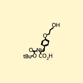 CC(C)(C)OC(=O)NC(Cc1ccc(OCCCO)cc1)C(=O)O